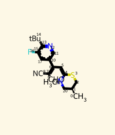 C[C@@H]1CS/C(=C/C(=C(/C#N)C=O)c2cnc(C(C)(C)C)c(F)c2)N(C)C1